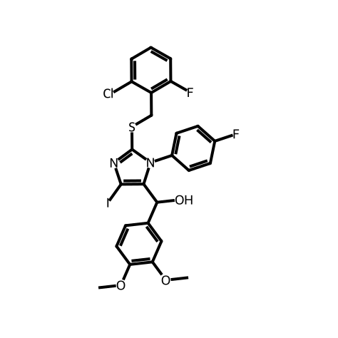 COc1ccc(C(O)c2c(I)nc(SCc3c(F)cccc3Cl)n2-c2ccc(F)cc2)cc1OC